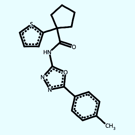 Cc1ccc(-c2nnc(NC(=O)C3(c4cccs4)CCCC3)o2)cc1